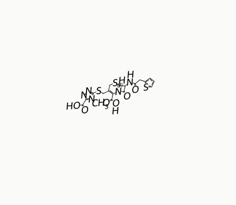 Cn1c(SCC2=C(C(=O)O)N3C(=O)C(NC(=O)Cc4cccs4)[C@H]3SC2)nnc1C(=O)O